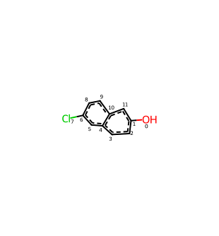 Oc1ccc2cc(Cl)ccc2c1